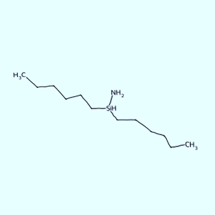 CCCCCC[SiH](N)CCCCCC